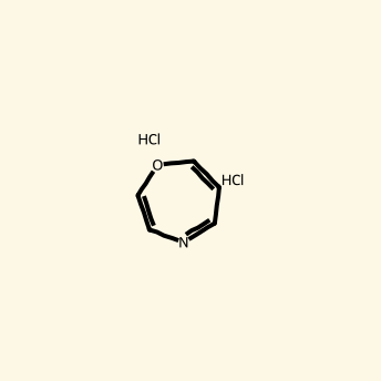 C1=COC=CN=C1.Cl.Cl